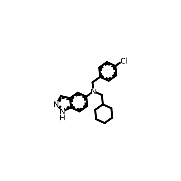 Clc1ccc(CN(CC2CCCCC2)c2ccc3[nH]ncc3c2)cc1